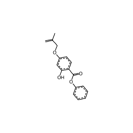 C=C(C)COc1ccc(C(=O)Oc2ccccc2)c(O)c1